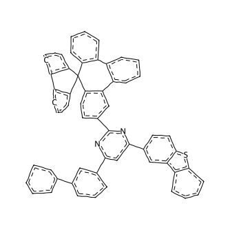 c1ccc(-c2cccc(-c3cc(-c4ccc5sc6ccccc6c5c4)nc(-c4ccc5c(c4)-c4ccccc4-c4ccccc4C54c5ccccc5-c5ccccc54)n3)c2)cc1